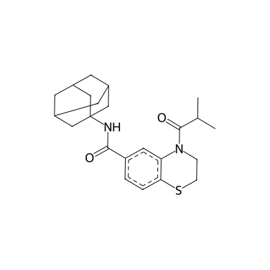 CC(C)C(=O)N1CCSc2ccc(C(=O)NC34CC5CC(CC(C5)C3)C4)cc21